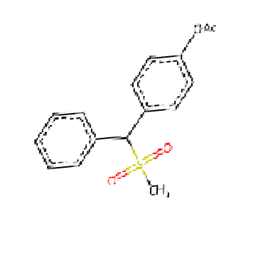 CC(=O)Oc1ccc(C(c2ccccc2)S(C)(=O)=O)cc1